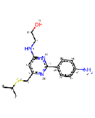 CC(C)SCc1cc(NCCO)nc(-c2ccc(N)cc2)n1